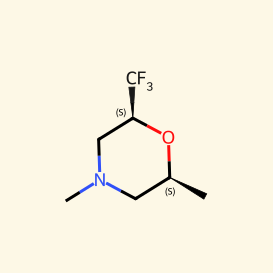 C[C@H]1CN(C)C[C@@H](C(F)(F)F)O1